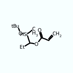 C=CC(=O)OC(CC)[SiH](C)OC(C)(C)C